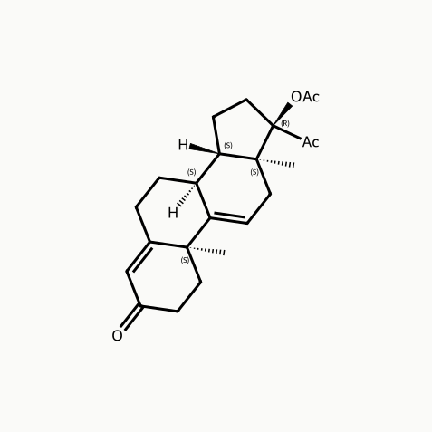 CC(=O)O[C@]1(C(C)=O)CC[C@H]2[C@@H]3CCC4=CC(=O)CC[C@]4(C)C3=CC[C@@]21C